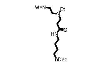 CCCCCCCCCCCCCCNC(=O)CCN(CC)CCNC